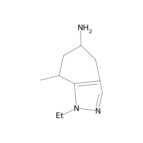 CCn1ncc2c1C(C)CC(N)C2